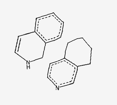 C1=Cc2ccccc2CN1.c1cc2c(cn1)CCCC2